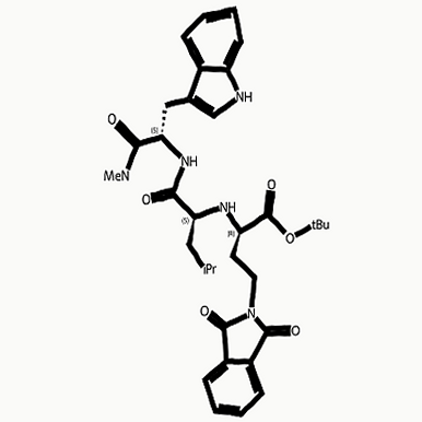 CNC(=O)[C@H](Cc1c[nH]c2ccccc12)NC(=O)[C@H](CC(C)C)N[C@H](CCN1C(=O)c2ccccc2C1=O)C(=O)OC(C)(C)C